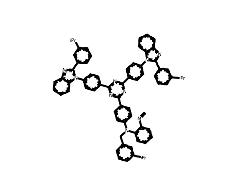 C=Nc1ccccc1N(Cc1cccc(C(C)C)c1)c1ccc(-c2nc(-c3ccc(-n4c(-c5cccc(C(C)C)c5)nc5ccccc54)cc3)nc(-c3ccc(-n4c(-c5cccc(C(C)C)c5)nc5ccccc54)cc3)n2)cc1